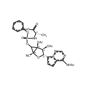 COC(=O)[C@H](C)NP(=O)(Oc1ccccc1)OC1[C@@]2(C#N)O[C@@H](c3ccc4c(NC(C)=O)ncnn34)[C@H](OC(C)=O)[C@@]12OC(C)=O